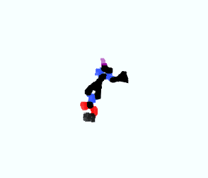 CC(C)(C)OC(=O)N1CC2C(C1)C2c1nc(I)cn1CC1CC1